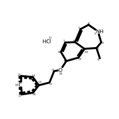 CC1CNCC=C2C=CC(OCCc3ccccc3)C=C21.Cl